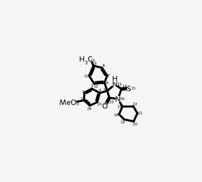 COc1ccc(C2(c3ccc(C)cc3)NC(=S)N(C3CCCCC3)C2=O)cc1